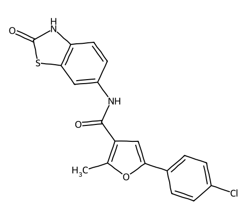 Cc1oc(-c2ccc(Cl)cc2)cc1C(=O)Nc1ccc2[nH]c(=O)sc2c1